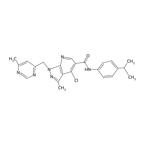 Cc1cc(Cn2nc(C)c3c(Cl)c(C(=O)Nc4ccc(C(C)C)cc4)cnc32)ncn1